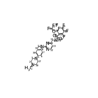 CN1CCN(c2ccc(Nc3nccc(CNS(=O)(=O)c4c(F)c(F)c(F)c(F)c4OC(F)F)n3)cc2)CC1